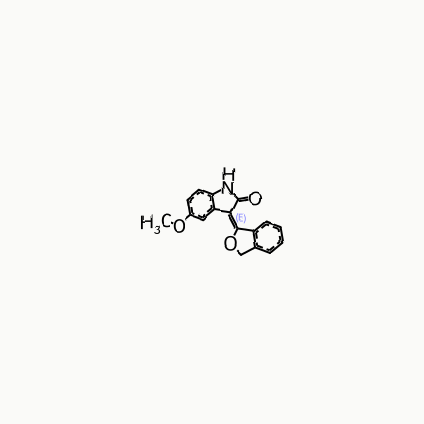 COc1ccc2c(c1)/C(=C1\OCc3ccccc31)C(=O)N2